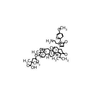 COc1ccc(-n2c(=O)cc([C@@]34CC[C@]5(C)[C@H](CC[C@@H]6[C@@]7(C)CC[C@H](OC(=O)CC(C)(C)C(=O)O)C(C)(C)[C@@H]7CC[C@]65C)C3=C(C(C)C)C(=O)C4)n2CCN)nc1